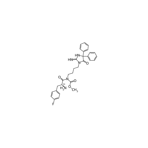 COC(=O)N(CCCCN1C(=N)NC(c2ccccc2)(c2ccccc2)C1=O)C(=O)[C@@H](N)Cc1ccc(F)cc1